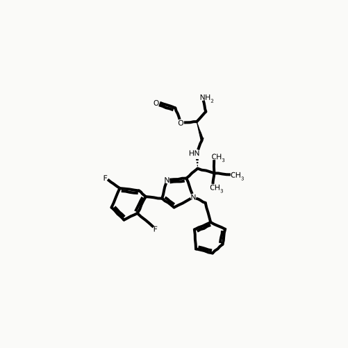 CC(C)(C)[C@@H](NC[C@H](CN)OC=O)c1nc(-c2cc(F)ccc2F)cn1Cc1ccccc1